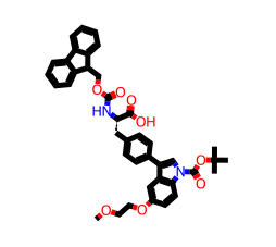 COCCOc1ccc2c(c1)c(-c1ccc(C[C@H](NC(=O)OCC3c4ccccc4-c4ccccc43)C(=O)O)cc1)cn2C(=O)OC(C)(C)C